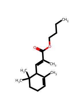 CCCCOC(=O)/C(C)=C/C1C(C)=CCCC1(C)C